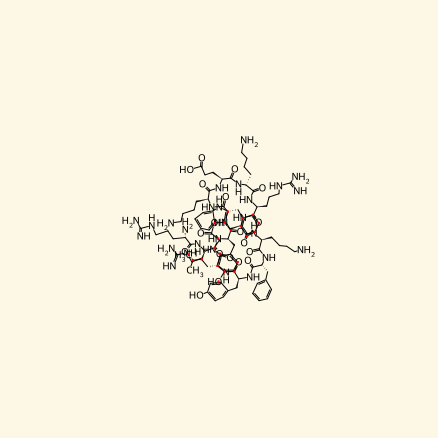 CC(C)C[C@@H](NC(=O)[C@@H](N)CCCNC(=N)N)C(=O)N[C@H](Cc1ccc(O)cc1)C(=O)N[C@@H](Cc1ccccc1)C(=O)N[C@@H](CCCCN)C(=O)N[C@@H](CCC(=O)O)C(=O)N[C@H](CCCCN)C(=O)N[C@@H](CCCNC(=N)N)C(=O)N[C@H](Cc1c[nH]c2ccccc12)C(=O)N[C@@H](CCCCN)C(=O)N[C@H](Cc1ccccc1)C(=O)N[C@@H](Cc1ccc(O)cc1)C(=O)N[C@H](CCCNC(=N)N)C(=O)NCC(=O)O